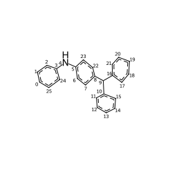 c1ccc(Nc2ccc(C(c3ccccc3)c3ccccc3)cc2)cc1